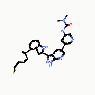 C=C(/C=C\C=C/CF)c1cccc2[nH]c(-c3n[nH]c4ncc(-c5cncc(NC(=O)N(C)C)c5)cc34)cc12